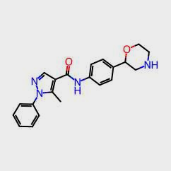 Cc1c(C(=O)Nc2ccc(C3CNCCO3)cc2)cnn1-c1ccccc1